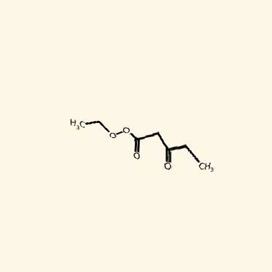 CCOOC(=O)CC(=O)CC